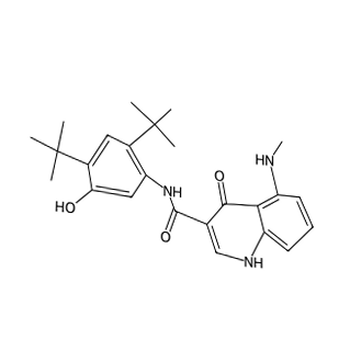 CNc1cccc2[nH]cc(C(=O)Nc3cc(O)c(C(C)(C)C)cc3C(C)(C)C)c(=O)c12